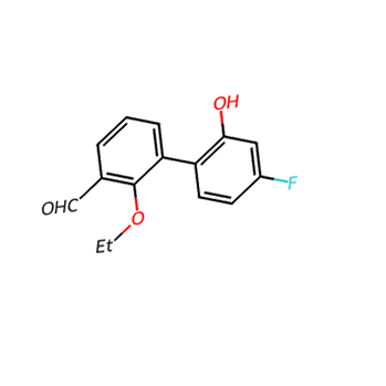 CCOc1c(C=O)cccc1-c1ccc(F)cc1O